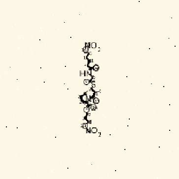 C[C@H](CSC(=O)CNC(=O)CCCCO[N+](=O)[O-])C(=O)N1CCC[C@H]1C(=O)OCCCO[N+](=O)[O-]